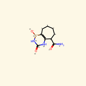 NC(=O)C1CCCCC2=C1NC(=O)N[S+]2[O-]